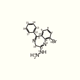 NNC1=Nc2c(Br)cccc2C(c2ccccc2)=NC1